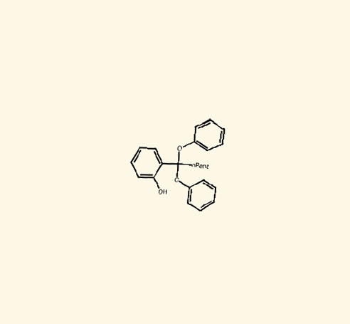 CCCCCC(Oc1ccccc1)(Oc1ccccc1)c1ccccc1O